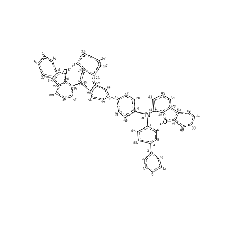 c1ccc(-c2ccc(N(c3ccc(-c4ccc5c(c4)c4ccccc4n5-c4cccc5c4oc4ccccc45)cc3)c3cccc4c3oc3ccccc34)cc2)cc1